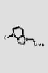 COCN1CN=C2C1=CC=CN2Cl